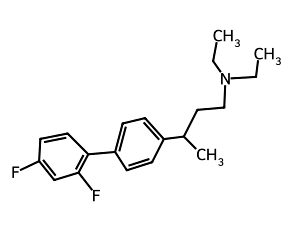 CCN(CC)CCC(C)c1ccc(-c2ccc(F)cc2F)cc1